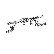 CCCCCCCCC/C(=C\CC(=O)N1CCC(=CC(O)CN(CCCCCCCCC)CCCC(=O)OCCCCC)CC1)CCN(CCCCCCCCC)CCCC(=O)OCCCC